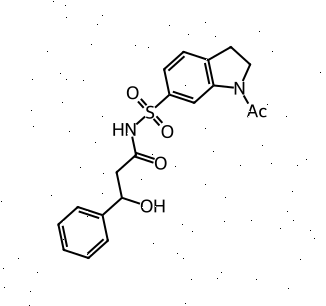 CC(=O)N1CCc2ccc(S(=O)(=O)NC(=O)CC(O)c3ccccc3)cc21